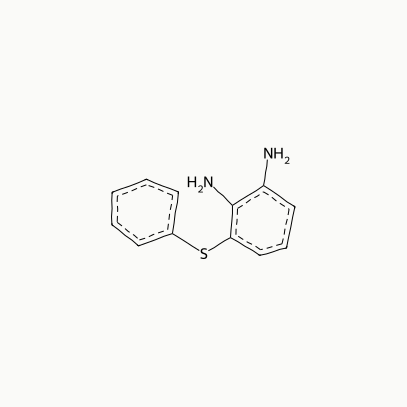 Nc1cccc(Sc2ccccc2)c1N